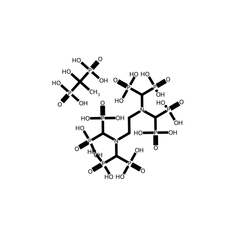 CC(O)(P(=O)(O)O)P(=O)(O)O.O=P(O)(O)C(N(CCN(C(P(=O)(O)O)P(=O)(O)O)C(P(=O)(O)O)P(=O)(O)O)C(P(=O)(O)O)P(=O)(O)O)P(=O)(O)O